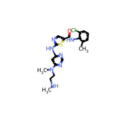 CNCCN(C)c1cc(Nc2ncc(C(=O)Nc3c(C)cccc3Cl)s2)ncn1